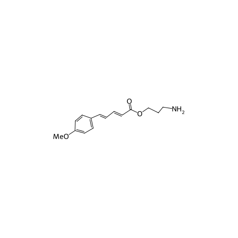 COc1ccc(/C=C/C=C/C(=O)OCCCN)cc1